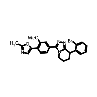 COc1cc(-c2nnc3n2CCCC3c2ccccc2Br)ccc1-c1cnc(C)o1